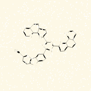 N#Cc1ccc2oc3ccc(-c4nc(-c5ccc6ccc7cccnc7c6n5)nc(-c5ccc6ccc7cccnc7c6n5)n4)cc3c2c1